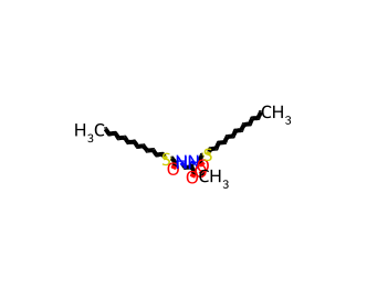 CCCCCCCCCCCCCCSCC(=O)NCC(NC(=O)CSCCCCCCCCCCCCCC)C(=O)OC